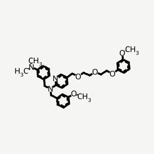 COc1cccc(CN(Cc2cccc(N(C)C)c2)c2ccc(COCCOCCOc3cccc(OC)c3)cn2)c1